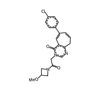 COC1CN(C(=O)Cn2cnc3c(c2=O)C=C(c2ccc(Cl)cc2)C=CC3)C1